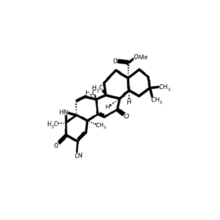 COC(=O)[C@]12CCC(C)(C)C[C@H]1[C@H]1C(=O)C=C3[C@@]4(C)C=C(C#N)C(=O)[C@@]5(C)N[C@@]45CC[C@@]3(C)[C@]1(C)CC2